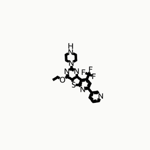 CCOC1=NC(N2CCNCC2)=NC2c3c(C(F)(F)F)cc(-c4cccnc4)nc3SC12